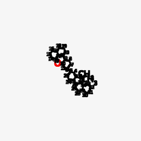 CC1(C)c2cc(-c3ccc4c(c3)Oc3cccc5cccc-4c35)ccc2-c2ccc3ccccc3c21